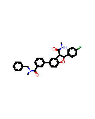 CNC(=O)C1c2cc(-c3cccc(C(=O)N(C)Cc4ccccc4)c3)ccc2OC1c1ccc(F)cc1